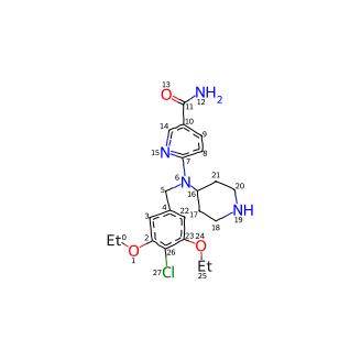 CCOc1cc(CN(c2ccc(C(N)=O)cn2)C2CCNCC2)cc(OCC)c1Cl